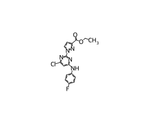 CCOC(=O)c1ccn(-c2nc(Cl)cc(Nc3ccc(F)cc3)n2)n1